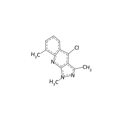 Cc1cccc2c(Cl)c3c(C)nn(C)c3nc12